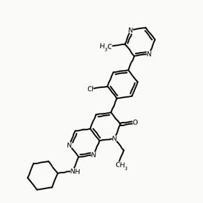 CCn1c(=O)c(-c2ccc(-c3nccnc3C)cc2Cl)cc2cnc(NC3CCCCC3)nc21